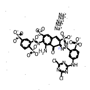 Nc1c(N=Nc2cc(S(=O)(=O)[O-])ccc2S(=O)(=O)[O-])c(S(=O)(=O)[O-])cc2c1C(=O)/C(=N/Nc1cc(Nc3nc(Cl)nc(Cl)n3)ccc1S(=O)(=O)[O-])C(S(=O)(=O)[O-])=C2.[Na+].[Na+].[Na+].[Na+].[Na+]